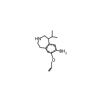 Bc1cc2c(cc1OCC=C)CCNCC2C(C)C